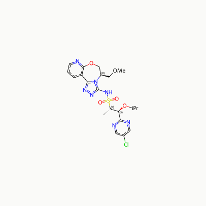 COC[C@@H]1COc2ncccc2-c2nnc(NS(=O)(=O)[C@@H](C)[C@@H](OC(C)C)c3ncc(Cl)cn3)n21